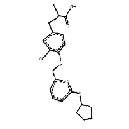 CC(Cc1ccc(OCc2cccc(SC3CCCC3)n2)c(Cl)c1)C(=O)O